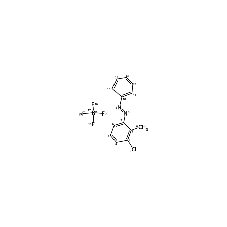 Cc1c(Cl)cccc1/N=N/c1ccccc1.F[B-](F)(F)F